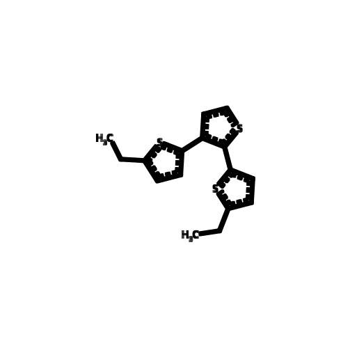 CCc1ccc(-c2ccsc2-c2ccc(CC)s2)s1